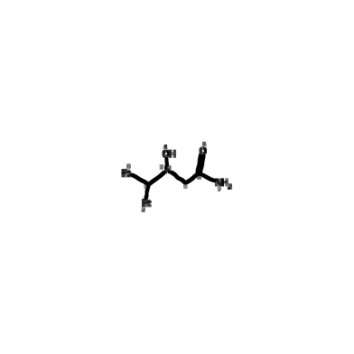 CCC(CC)N(O)CC(N)=O